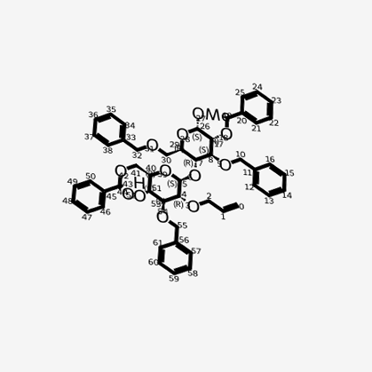 C=CCO[C@H]1[C@H](O[C@H]2[C@H](OCc3ccccc3)[C@@H](OCc3ccccc3)[C@@H](OC)O[C@@H]2COCc2ccccc2)O[C@H](COC(=O)c2ccccc2)[C@H](O)[C@@H]1OCc1ccccc1